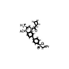 CC(=O)N1c2ccc(-c3ccc(S(=O)(=O)CC(C)C)cc3)cc2N(C(=O)C2CCC2)C[C@@H]1C